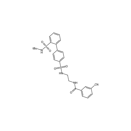 CC(C)(C)NS(=O)(=O)c1ccccc1-c1ccc(S(=O)(=O)NCCNC(=O)c2cccc(C#N)c2)cc1